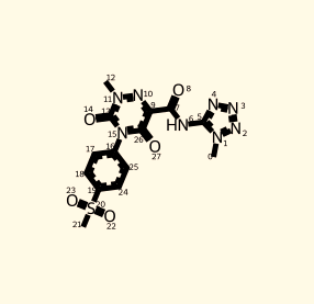 Cn1nnnc1NC(=O)c1nn(C)c(=O)n(-c2ccc(S(C)(=O)=O)cc2)c1=O